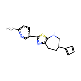 O=C(O)c1ccc(-c2nc3c(s2)NCC(C2=CC=C2)CC3)cn1